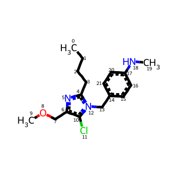 CCCCc1nc(COC)c(Cl)n1Cc1ccc(NC)cc1